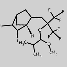 COC(OC(CC1CC2C[C@H]1C(I)C2I)(C(F)(F)F)C(F)(F)F)C(C)C